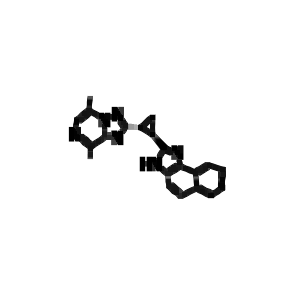 Cc1ncc(C)n2nc([C@@H]3C[C@H]3c3nc4c(ccc5ccccc54)[nH]3)nc12